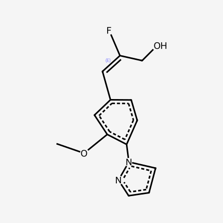 COc1cc(/C=C(/F)CO)ccc1-n1cccn1